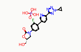 O=C1O[C@@H](CO)CN1c1ccc(-c2ccc(-c3nnn(C4CC4)n3)nc2)c(F)c1.O=P(O)(O)O